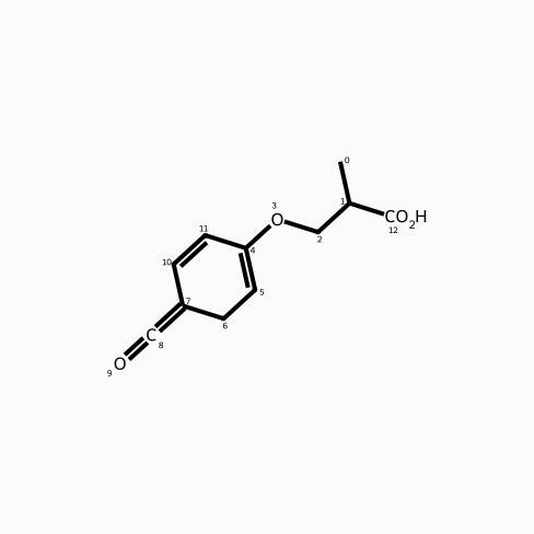 CC(COC1=CCC(=C=O)C=C1)C(=O)O